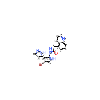 O=C(Cc1cccc2ncccc12)Nc1[nH]cc(Br)c1-c1ccn[nH]1